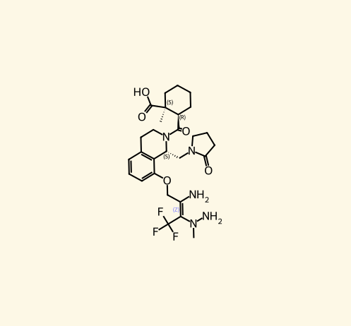 CN(N)/C(=C(\N)COc1cccc2c1[C@@H](CN1CCCC1=O)N(C(=O)[C@@H]1CCCC[C@]1(C)C(=O)O)CC2)C(F)(F)F